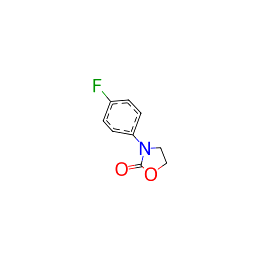 O=C1OCCN1c1ccc(F)cc1